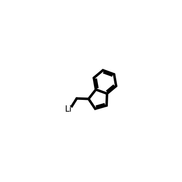 [Li][CH2]C1C=Cc2ccccc21